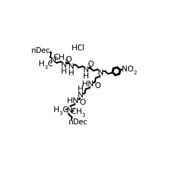 CCCCCCCCCCCC[N+](C)(C)CCNC(=O)NCCCNC(=O)CCN(CCC(=O)NCCCNC(=O)NCC[N+](C)(C)CCCCCCCCCCCC)CCc1ccc([N+](=O)[O-])cc1.Cl